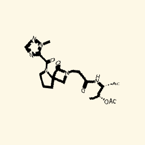 CC(=O)O[C@H](C)[C@H](NC(=O)CN1CC2(CCCN2C(=O)c2ncnn2C)C1=O)C(C)=O